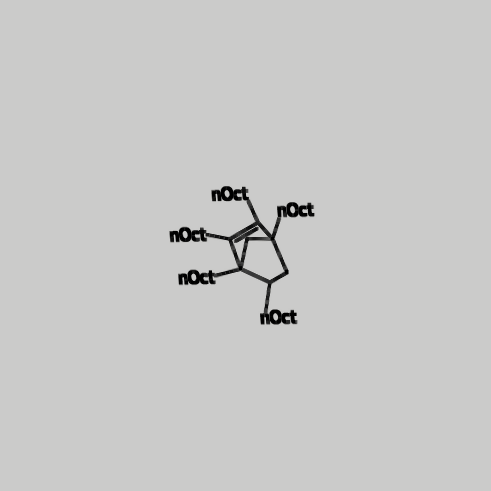 CCCCCCCCC1=C(CCCCCCCC)C2(CCCCCCCC)CC1(CCCCCCCC)CC2CCCCCCCC